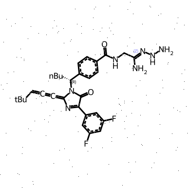 CCCC[C@H](c1ccc(C(=O)NC/C(N)=N/NN)cc1)N1C(=O)C(c2cc(F)cc(F)c2)=NC1=C=C=CC(C)(C)C